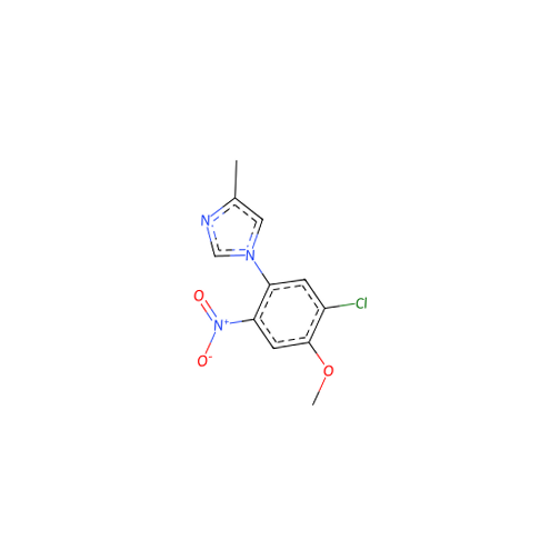 COc1cc([N+](=O)[O-])c(-n2cnc(C)c2)cc1Cl